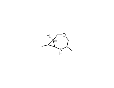 CC1COC[C@@H]2C(C)C2N1